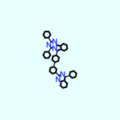 c1ccc(-c2nc(-c3ccccc3)n3c(-c4ccc(-c5cccc(-c6nc(-c7ccccc7)c7ccccc7n6)c5)cc4)c4ccccc4c3n2)cc1